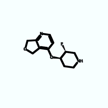 F[C@@H]1CNCC[C@H]1Oc1ccnc2c1COC2